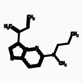 C=CC(=C)c1cnc2ccc(N(C)CCC)nn12